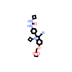 N#Cc1c(-c2ccc(NC(=O)NC3CCC3)cc2)n(C2CCC2)c2cc(OCC3OCCO3)ccc12